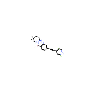 CC1(C)CCc2nc3cc(C#Cc4cc(F)ncc4F)ccc3c(=O)n2C1